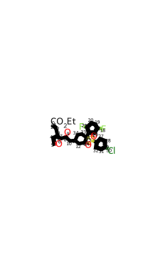 CCOC(=O)C=Cc1ccoc1C(=O)CC1CCC(c2cc(F)ccc2F)(S(=O)(=O)c2ccc(Cl)cc2)CC1